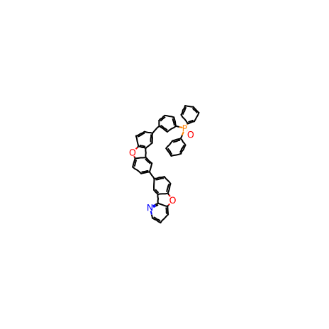 O=P(c1ccccc1)(c1ccccc1)c1cccc(-c2ccc3oc4ccc(-c5ccc6oc7cccnc7c6c5)cc4c3c2)c1